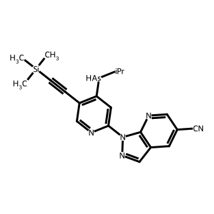 CC(C)[AsH]c1cc(-n2ncc3cc(C#N)cnc32)ncc1C#C[Si](C)(C)C